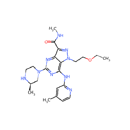 CCOCCn1nc(C(=O)NC)c2nc(N3CCN[C@H](C)C3)nc(Nc3cc(C)ccn3)c21